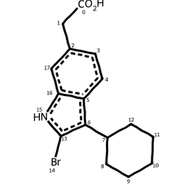 O=C(O)Cc1ccc2c(C3CCCCC3)c(Br)[nH]c2c1